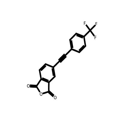 O=C1OC(=O)c2cc(C#Cc3ccc(C(F)(F)F)cc3)ccc21